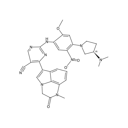 COc1cc(N2CC[C@@H](N(C)C)C2)c([N+](=O)[O-])cc1Nc1ncc(C#N)c(-c2cn3c4c(cccc24)N(C)C(=O)C3)n1